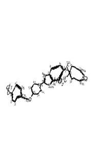 O=C(O)C1([S+]([O-])c2ccc3nc(N4CCC(Oc5ccc(OC(F)(F)F)cc5)CC4)sc3c2)CCOCC1